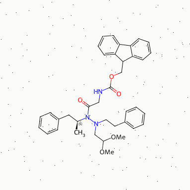 COC(CN(CCc1ccccc1)N(C(=O)CNC(=O)OCC1c2ccccc2-c2ccccc21)[C@@H](C)Cc1ccccc1)OC